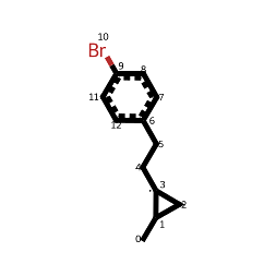 CC1C[C]1CCc1ccc(Br)cc1